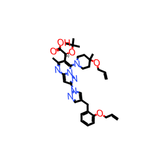 C=CCOc1ccccc1Cc1cnn(-c2cc3nc(C)c([C@H](OC(C)(C)C)C(=O)O)c(N4CCC(C)(OCC=C)CC4)n3n2)c1